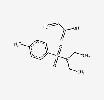 C=CC(=O)O.CCN(CC)S(=O)(=O)c1ccc(C)cc1